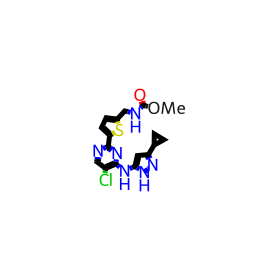 COC(=O)NCc1ccc(-c2ncc(Cl)c(Nc3cc(C4CC4)n[nH]3)n2)s1